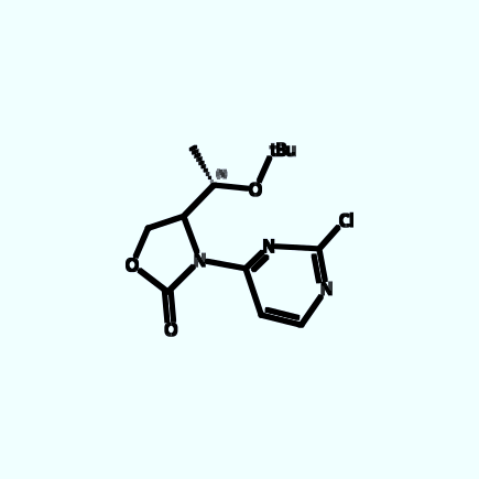 C[C@H](OC(C)(C)C)C1COC(=O)N1c1ccnc(Cl)n1